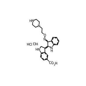 Cl.Cl.O=C(O)c1ccc2c(c1)C(=C1Nc3ccccc3C1=NOCCN1CCNCC1)CN2